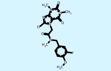 COc1ccc(CN(C)C(=O)Cn2c(Cl)nc3c2c(=O)n(C)c(=O)n3C)cc1F